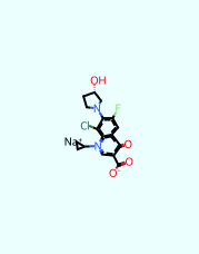 O=C([O-])c1cn(C2CC2)c2c(Cl)c(N3CC[C@H](O)C3)c(F)cc2c1=O.[Na+]